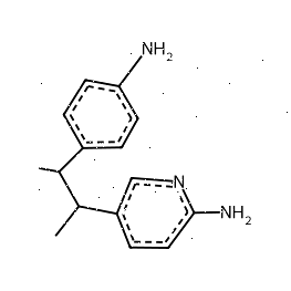 CC(c1ccc(N)cc1)C(C)c1ccc(N)nc1